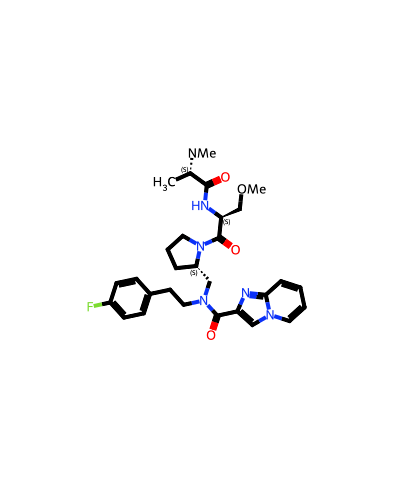 CN[C@@H](C)C(=O)N[C@@H](COC)C(=O)N1CCC[C@H]1CN(CCc1ccc(F)cc1)C(=O)c1cn2ccccc2n1